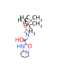 CC(C)(C)[Si](C)(C)OC1CN(C[C@H](O)C(=O)Nc2ccccn2)C1